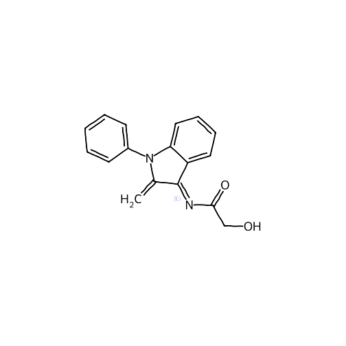 C=C1/C(=N/C(=O)CO)c2ccccc2N1c1ccccc1